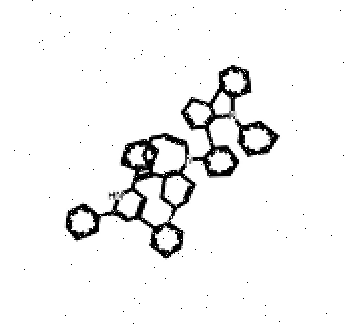 C=C1CC/C=C\N(c2ccccc2C2=C3C(CC=C2)c2ccccc2N3c2ccccc2)C2=C1CC(c1ccccc1C1=CC(c3ccccc3)NC(c3ccccc3)=C1)C=C2